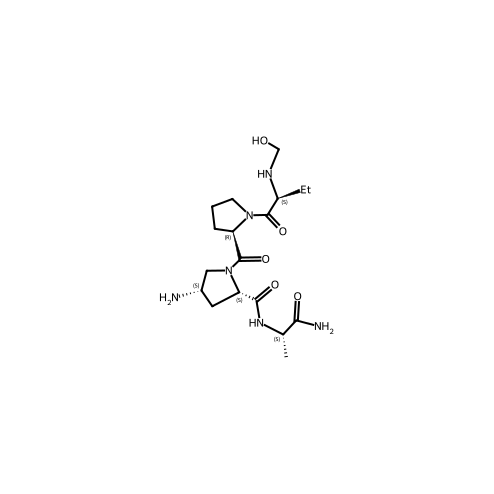 CC[C@H](NCO)C(=O)N1CCC[C@@H]1C(=O)N1C[C@@H](N)C[C@H]1C(=O)N[C@@H](C)C(N)=O